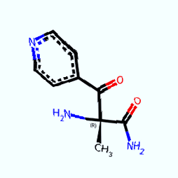 C[C@](N)(C(N)=O)C(=O)c1ccncc1